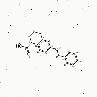 O=C(O)C1CCCc2cc(OCc3ccccc3)ccc21